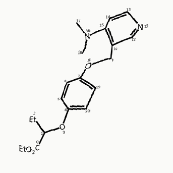 CCOC(=O)C(CC)Oc1ccc(OCc2cnccc2N(C)C)cc1